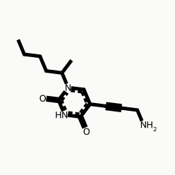 CCCCC(C)n1cc(C#CCN)c(=O)[nH]c1=O